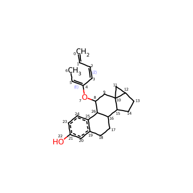 C=C/C=C\C(=C/C)OC1CC23CC2CCC3C2CCc3cc(O)ccc3C12